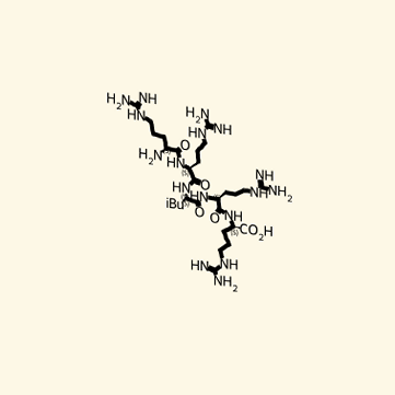 CC[C@H](C)[C@H](NC(=O)[C@H](CCCNC(=N)N)NC(=O)[C@@H](N)CCCNC(=N)N)C(=O)N[C@@H](CCCNC(=N)N)C(=O)N[C@@H](CCCNC(=N)N)C(=O)O